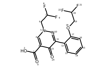 O=C(O)c1cn(CC(F)F)nc(-c2ccccc2OCC(F)F)c1=O